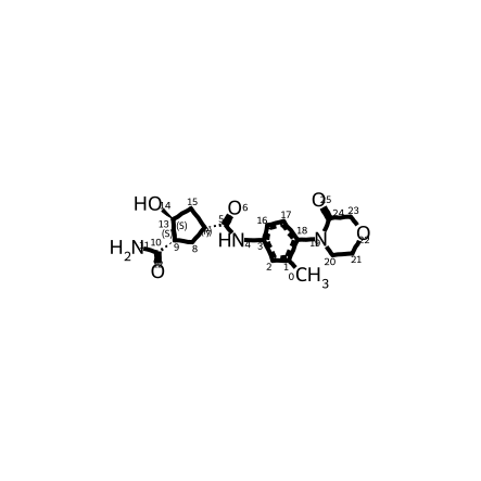 Cc1cc(NC(=O)[C@@H]2C[C@H](C(N)=O)[C@@H](O)C2)ccc1N1CCOCC1=O